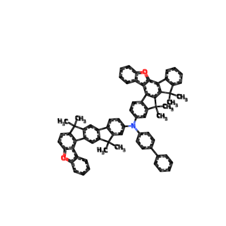 CC1(C)c2cc(N(c3ccc(-c4ccccc4)cc3)c3ccc4c(c3)C(C)(C)c3c5c(c6oc7ccccc7c6c3-4)-c3ccccc3C5(C)C)ccc2-c2cc3c(cc21)-c1c(ccc2oc4ccccc4c12)C3(C)C